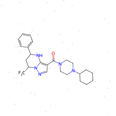 O=C(c1cnn2c1NC(c1ccccc1)CC2C(F)(F)F)N1CCN(C2CCCCC2)CC1